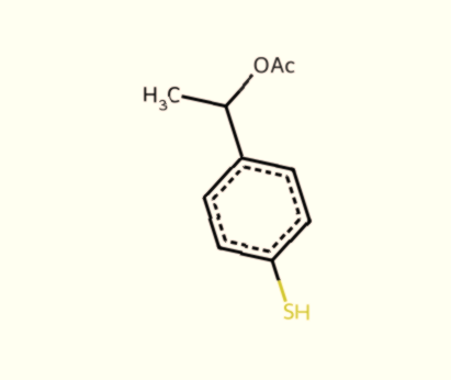 CC(=O)OC(C)c1ccc(S)cc1